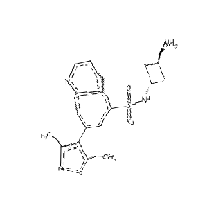 Cc1noc(C)c1-c1cc(S(=O)(=O)N[C@H]2C[C@H](N)C2)c2cccnc2c1